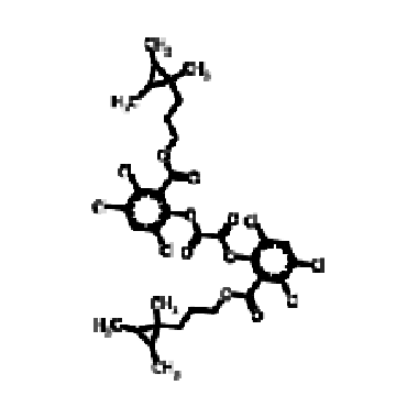 CC1C(C)C1(C)CCCOC(=O)c1c(Cl)c(Cl)cc(Cl)c1OC(=O)C(=O)Oc1c(Cl)cc(Cl)c(Cl)c1C(=O)OCCCC1(C)C(C)C1C